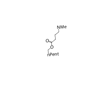 CCCCCCOC(=O)CCCNC